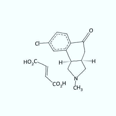 CN1C[C@@H]2CC(=O)c3ccc(Cl)cc3[C@@H]2C1.O=C(O)/C=C/C(=O)O